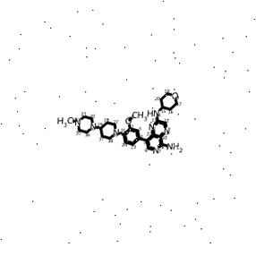 COc1cc(-c2cnc(N)c3ncc(NC4CCOCC4)nc23)ccc1N1CCC(N2CCN(C)CC2)CC1